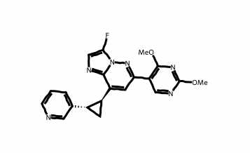 COc1ncc(-c2cc([C@H]3C[C@@H]3c3cccnc3)c3ncc(F)n3n2)c(OC)n1